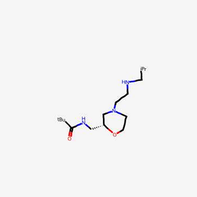 CC(C)CNCCN1CCO[C@H](CNC(=O)C(C)(C)C)C1